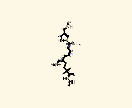 C=C(NNC)C(C)(C)CC/C(=C\NC)C/C=C\C=C(/N)N1C=C(CNC)CN1